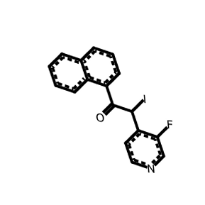 O=C(c1cccc2ccccc12)C(I)c1ccncc1F